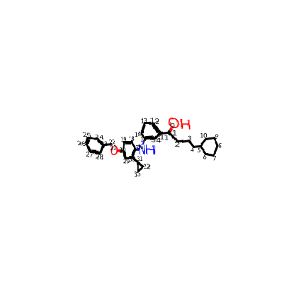 OC(CCCC1CCCCC1)c1cccc(Nc2ccc(OCc3ccccc3)cc2C2CC2)c1